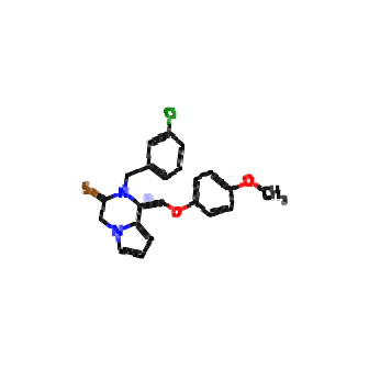 COc1ccc(O/C=C2\c3cccn3CC(=S)N2Cc2cccc(Cl)c2)cc1